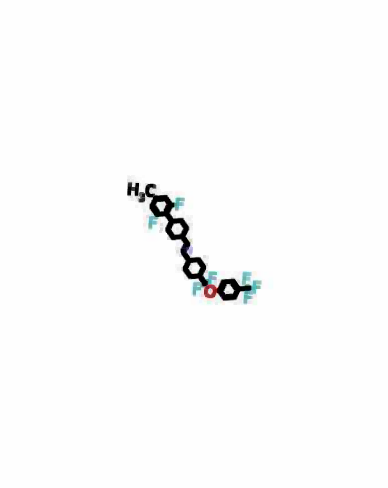 Cc1cc(F)c(C2CCC(/C=C/C3CCC(C(F)(F)Oc4ccc(C(F)(F)F)cc4)CC3)CC2)c(F)c1